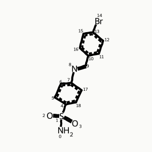 NS(=O)(=O)c1ccc(/N=C/c2ccc(Br)cc2)cc1